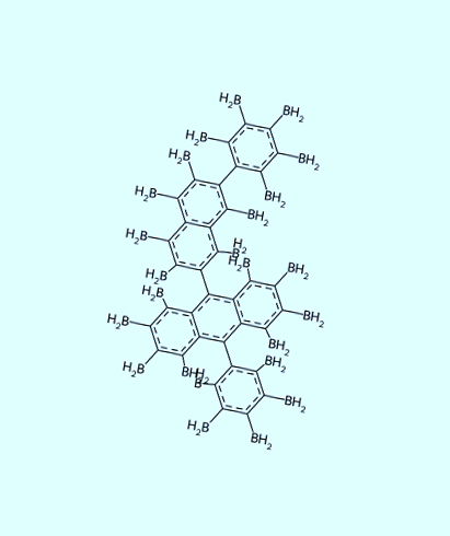 Bc1c(B)c(B)c(-c2c(B)c(B)c3c(B)c(B)c(-c4c5c(B)c(B)c(B)c(B)c5c(-c5c(B)c(B)c(B)c(B)c5B)c5c(B)c(B)c(B)c(B)c45)c(B)c3c2B)c(B)c1B